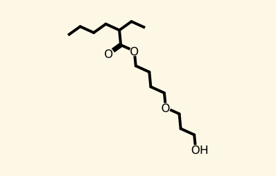 CCCCC(CC)C(=O)OCCCCOCCCO